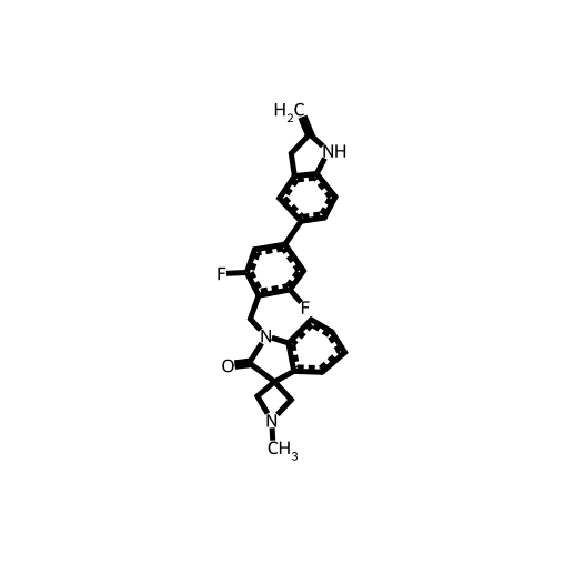 C=C1Cc2cc(-c3cc(F)c(CN4C(=O)C5(CN(C)C5)c5ccccc54)c(F)c3)ccc2N1